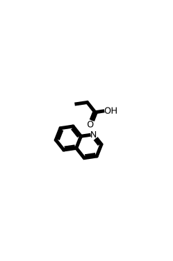 CCC(=O)O.c1ccc2ncccc2c1